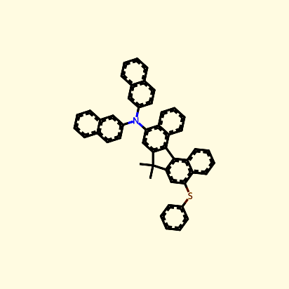 CC1(C)c2cc(Sc3ccccc3)c3ccccc3c2-c2c1cc(N(c1ccc3ccccc3c1)c1ccc3ccccc3c1)c1ccccc21